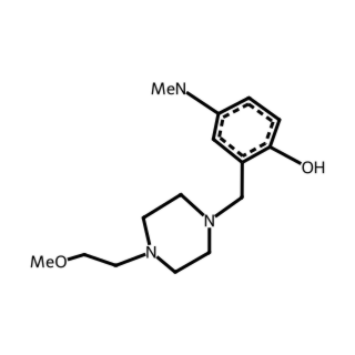 CNc1ccc(O)c(CN2CCN(CCOC)CC2)c1